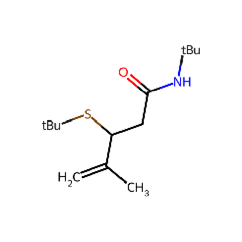 C=C(C)C(CC(=O)NC(C)(C)C)SC(C)(C)C